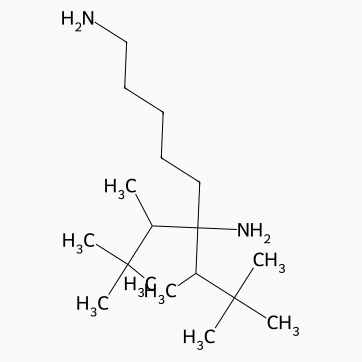 CC(C(C)(C)C)C(N)(CCCCCN)C(C)C(C)(C)C